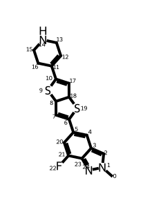 Cn1cc2cc(C3=CC4SC(C5=CCNCC5)=CC4S3)cc(F)c2n1